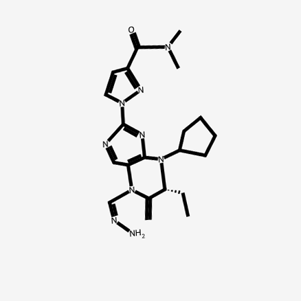 C=C1[C@@H](CC)N(C2CCCC2)c2nc(-n3ccc(C(=O)N(C)C)n3)ncc2N1/C=N\N